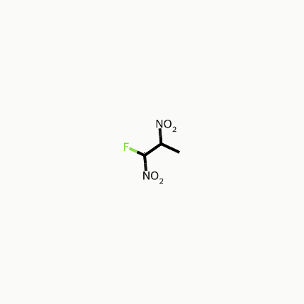 CC([C](F)[N+](=O)[O-])[N+](=O)[O-]